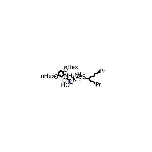 CCCCCCOc1ccc(OCCCCCC)c(NC(=O)/C(N=Nc2nnc(SCC(CCCCC(C)C)CCC(C)C)s2)=C(/C)O)c1